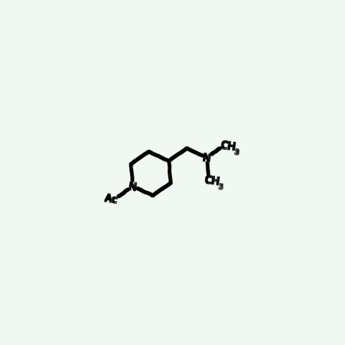 CC(=O)N1CCC(CN(C)C)CC1